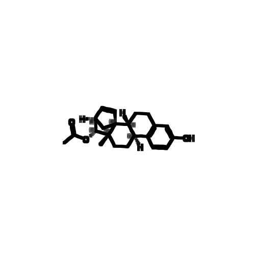 CC(=O)O[C@@H]1[C@H]2C=C[C@@]3(C2)[C@@H]2CCc4cc(O)ccc4[C@H]2CC[C@]13C